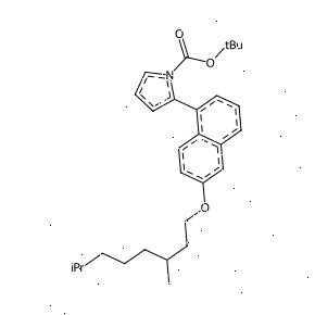 CC(C)CCCC(C)CCOc1ccc2c(-c3cccn3C(=O)OC(C)(C)C)cccc2c1